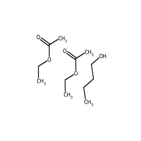 CCCCO.CCOC(C)=O.CCOC(C)=O